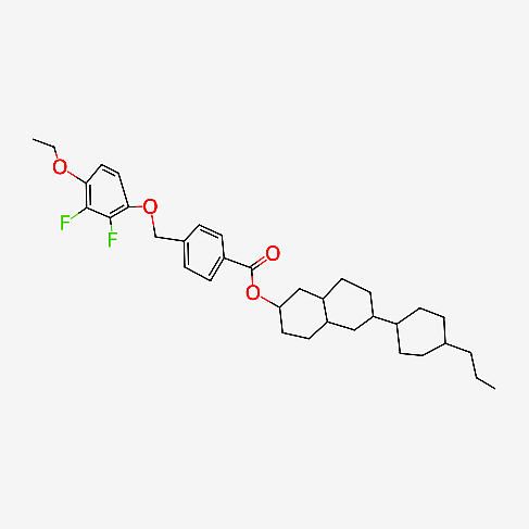 CCCC1CCC(C2CCC3CC(OC(=O)c4ccc(COc5ccc(OCC)c(F)c5F)cc4)CCC3C2)CC1